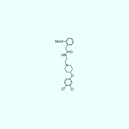 COc1ccccc1CC(=O)NCCN1CCC(Oc2ccc(Cl)c(Cl)c2)CC1